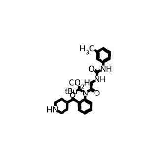 Cc1cccc(NC(=O)NCC(=O)N(c2ccccc2C(=O)C2CCNCC2)C(C(=O)O)C(C)(C)C)c1